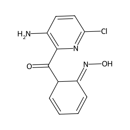 Nc1ccc(Cl)nc1C(=O)C1C=CC=CC1=NO